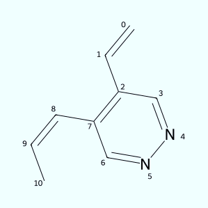 C=Cc1cnncc1/C=C\C